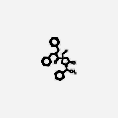 C[C@@H](c1ccccc1)N1CC(CF)(C(=O)N(Cc2ccccc2)Cc2ccccc2)CC1=O